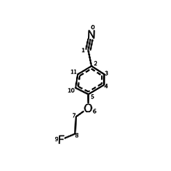 N#Cc1ccc(OCCF)cc1